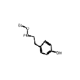 CCONCCc1ccc(O)cc1